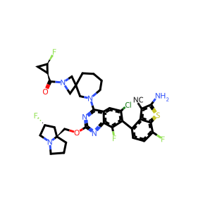 N#Cc1c(N)sc2c(F)ccc(-c3c(Cl)cc4c(N5CCCCC6(CN(C(=O)[C@H]7C[C@H]7F)C6)C5)nc(OC[C@@]56CCCN5C[C@H](F)C6)nc4c3F)c12